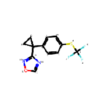 FC(F)(F)Sc1ccc(C2(c3n[c]on3)CC2)cc1